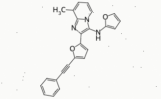 Cc1cccn2c(Nc3ccco3)c(-c3ccc(C#Cc4ccccc4)o3)nc12